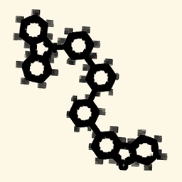 c1cc(-c2cccc(-c3ccc4oc5cnccc5c4c3)c2)cc(-c2cccc(-n3c4ccccc4c4ccccc43)c2)c1